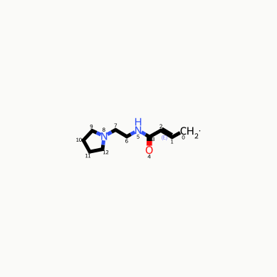 [CH2]/C=C/C(=O)NCCN1CCCC1